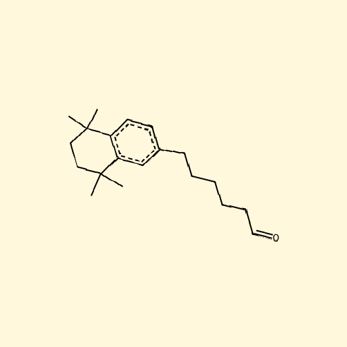 CC1(C)CCC(C)(C)c2cc(CCCCCC=O)ccc21